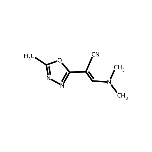 Cc1nnc(/C(C#N)=C/N(C)C)o1